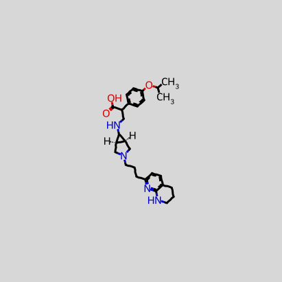 CC(C)Oc1ccc(C(CNC2[C@H]3CN(CCCc4ccc5c(n4)NCCC5)C[C@@H]23)C(=O)O)cc1